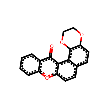 O=c1c2ccccc2oc2ccc3ccc4c(c3c12)OCCO4